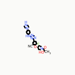 CC(O)C(=O)N1CC[C@H](Oc2ccc(-c3ncnc(Nc4ccc(N5CCNCC5)cc4)n3)cc2C#N)[C@H](F)C1